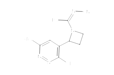 CC(C)(C)/C(=N/C#N)N1CCC1c1cc(C(C)(C)C)nnc1Cl